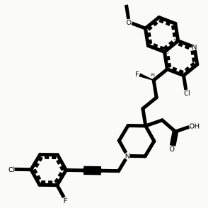 COc1ccc2ncc(Cl)c([C@H](F)CCC3(CC(=O)O)CCN(CC#Cc4ccc(Cl)cc4F)CC3)c2c1